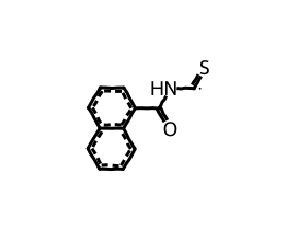 O=C(N[C]=S)c1cccc2ccccc12